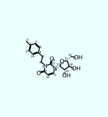 Cc1ccc(CCn2c(=O)ccn([C@@H]3O[C@H](CO)C(O)[C@@H]3O)c2=O)cc1